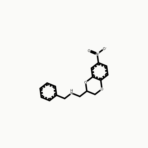 O=[N+]([O-])c1ccc2c(c1)OC(CNCc1ccccc1)CO2